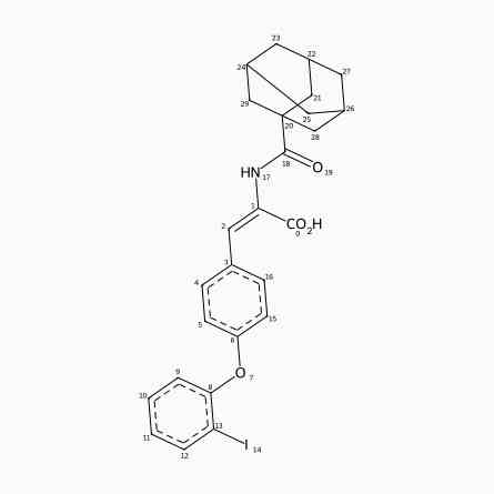 O=C(O)/C(=C\c1ccc(Oc2ccccc2I)cc1)NC(=O)C12CC3CC(CC(C3)C1)C2